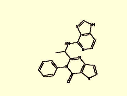 CC(Nc1nccc2[nH]cnc12)c1nc2ccsc2c(=O)n1-c1ccccc1